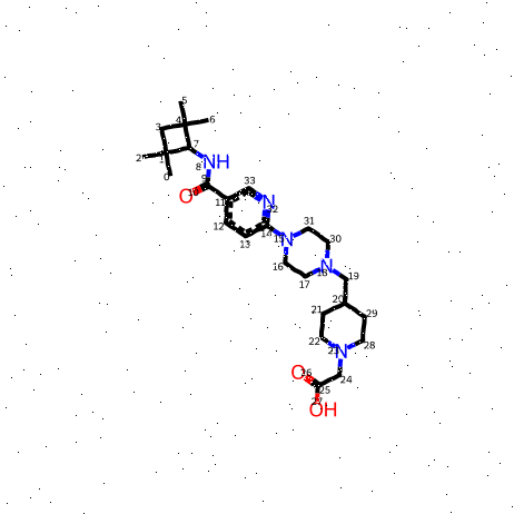 CC1(C)CC(C)(C)C1NC(=O)c1ccc(N2CCN(CC3CCN(CC(=O)O)CC3)CC2)nc1